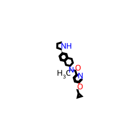 CN(C(=O)c1ccc(OCC2CC2)cn1)C1CCc2cc([C@@H]3CCCN3)ccc2C1